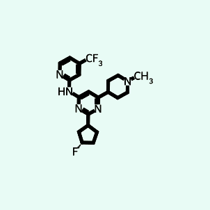 CN1CCC(c2cc(Nc3cc(C(F)(F)F)ccn3)nc(C3CC[C@H](F)C3)n2)CC1